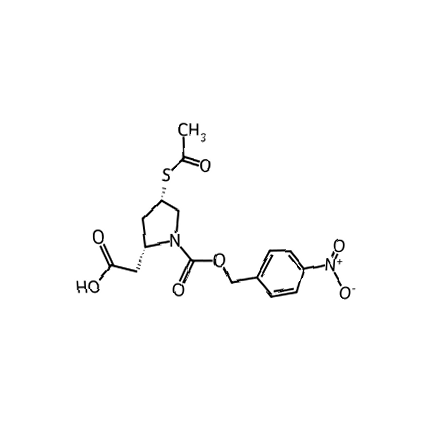 CC(=O)S[C@H]1C[C@@H](CC(=O)O)N(C(=O)OCc2ccc([N+](=O)[O-])cc2)C1